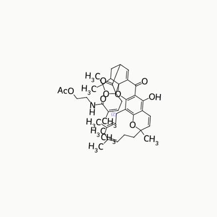 CC(=O)OCCNC(=O)/C(C)=C\CC12OC(C)(C)C3CC(C=C4C(=O)c5c(O)c6c(c(CC=C(C)C)c5OC431)OC(C)(CCC=C(C)C)C=C6)C2=O